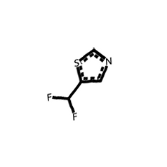 FC(F)c1cn[c]s1